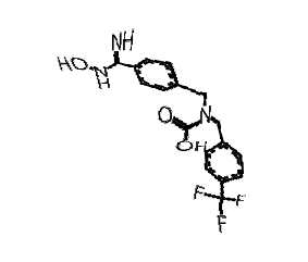 N=C(NO)c1ccc(CN(Cc2ccc(C(F)(F)F)cc2)C(=O)O)cc1